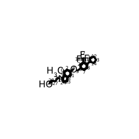 Cc1cc(OCc2ccc(C3CCCC3)c(C(F)(F)F)c2)cc2ccn(CCCO)c12